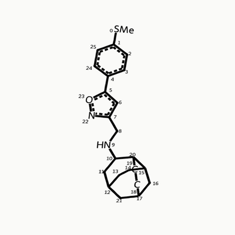 CSc1ccc(-c2cc(CNC3CC4CCC5CC(CCC53)C4)no2)cc1